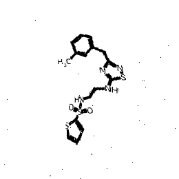 Cc1cccc(Cc2nsc(NCCNS(=O)(=O)c3cccs3)n2)c1